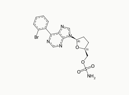 NS(=O)(=O)OC[C@@H]1CC[C@H](n2cnc3c(-c4ccccc4Br)ncnc32)O1